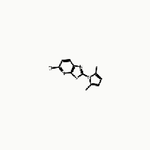 Cc1ccc(C)n1-c1nc2ccc(Cl)nc2s1